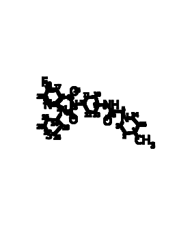 CC1CCN(CC(=O)NC2CCC(n3c(=O)c4cc(F)cnc4n(C4CCSCC4)c3=O)CC2)CC1